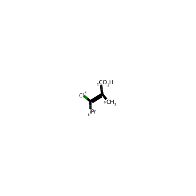 C/C(C(=O)O)=C(/Cl)C(C)C